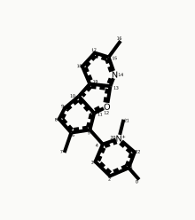 Cc1ccc(-c2c(C)ccc3c2oc2nc(C)ccc23)[n+](C)c1